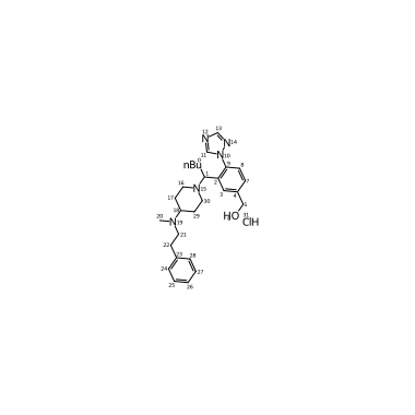 CCCCC(c1cc(CO)ccc1-n1cncn1)N1CCC(N(C)CCc2ccccc2)CC1.Cl